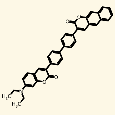 CCN(CC)c1ccc2cc(-c3ccc(-c4ccc(-c5cc6cc7ccccc7cc6oc5=O)cc4)cc3)c(=O)oc2c1